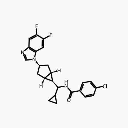 O=C(NC(C1CC1)[C@H]1[C@@H]2C[C@@H](n3cnc4cc(F)c(F)cc43)C[C@@H]21)c1ccc(Cl)cc1